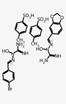 Cc1ccc(S(=O)(=O)O)cc1.Cc1ccc(S(=O)(=O)O)cc1.N=C(N)N(O)/N=C/c1ccc(Br)cc1.N=C(N)N(O)/N=C/c1ccc2c(c1)OCO2